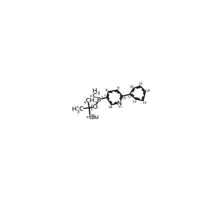 CB(OC(C)(C)C(C)(C)C)c1ccc(-c2ccccc2)nc1